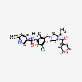 Cc1c(CN2CCN(C(=O)C3CCOCC3)[C@@H](C)C2)cc(Cl)cc1NC(=O)c1ccc(C#N)nc1